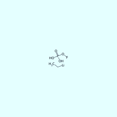 O=P(O)(O)OF.[Li][CH2]C